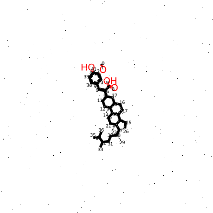 COc1cc(/C=C(\C(=O)O)C2CC[C@@]3(C)C(CCC4C3CC[C@@]3(C)C4CC[C@@H]3[C@H](C)CCC(C)C(C)C)C2)ccc1O